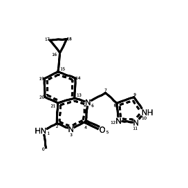 CNc1nc(=O)n(Cc2c[nH]nn2)c2cc(C3CC3)ccc12